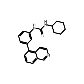 O=C(Nc1cccc(-c2cccc3cnccc23)c1)NC1CCCCC1